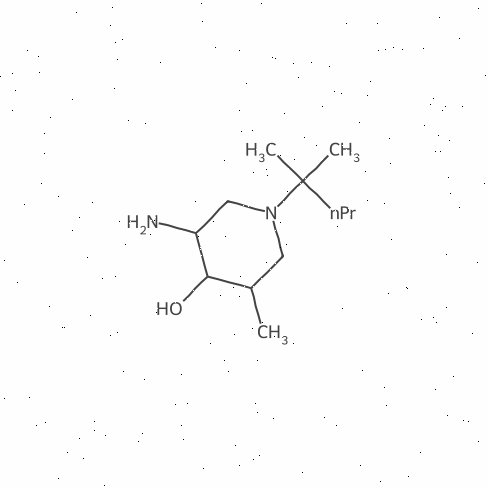 CCCC(C)(C)N1CC(C)C(O)C(N)C1